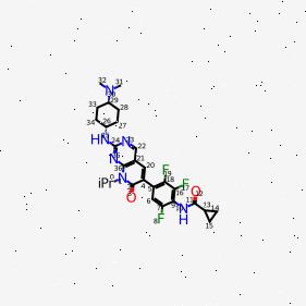 CC(C)n1c(=O)c(-c2cc(F)c(NC(=O)C3CC3)c(F)c2F)cc2cnc(N[C@H]3CC[C@H](N(C)C)CC3)nc21